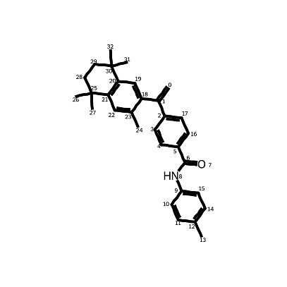 C=C(c1ccc(C(=O)Nc2ccc(C)cc2)cc1)c1cc2c(cc1C)C(C)(C)CCC2(C)C